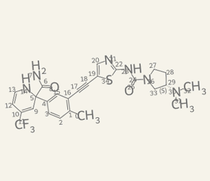 Cc1ccc(C2(C(N)=O)C=C(C(F)(F)F)C=CN2)cc1C#Cc1cnc(NC(=O)N2CC[C@H](N(C)C)C2)s1